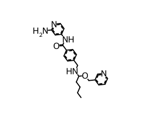 CCCCC(NCc1ccc(C(=O)Nc2ccnc(N)c2)cc1)OCc1cccnc1